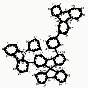 c1ccc(-n2c3ccccc3c3cccc(-c4ccc5c(c4)C4(c6ccccc6-c6ccccc64)c4cccc(-c6cccc(-c7ccc8c9ccccc9c9ccccc9c8c7)c6)c4-5)c32)cc1